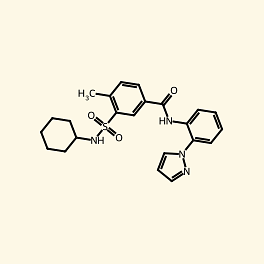 Cc1ccc(C(=O)Nc2ccccc2-n2cccn2)cc1S(=O)(=O)NC1CCCCC1